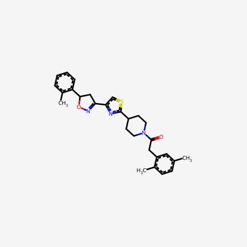 Cc1ccc(C)c(CC(=O)N2CCC(c3nc(C4=NOC(c5ccccc5C)C4)cs3)CC2)c1